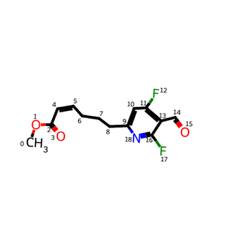 COC(=O)/C=C\CCCc1cc(F)c(C=O)c(F)n1